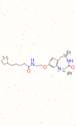 CC[C@@H]1Cc2ccc(OCCNC(=O)CCCCC3CCSS3)cc2N(C)[C@@H](C(C)C)C(=O)N1